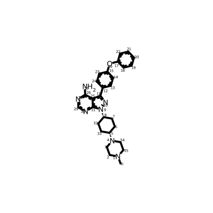 CN1CCN([C@H]2CC[C@@H](n3nc(-c4ccc(Oc5ccccc5)cc4)c4c(N)ncnc43)CC2)CC1